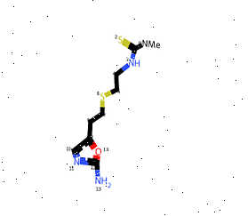 CNC(=S)NCCSCCc1cnc(N)o1